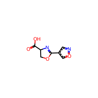 O=C(O)C1COC(c2cnoc2)=N1